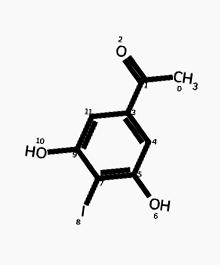 CC(=O)c1cc(O)c(I)c(O)c1